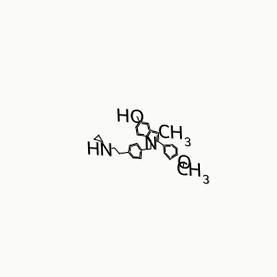 COc1ccc(-c2c(C)c3cc(O)ccc3n2Cc2ccc(CCNC3CC3)cc2)cc1